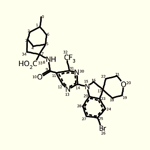 CC1CC2CC(C1)C(NC(=O)c1cnc(N3CC4(CCOCC4)c4cc(Br)ccc43)nc1C(F)(F)F)(C(=O)O)C2